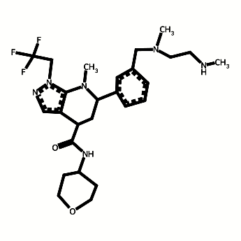 CNCCN(C)Cc1cccc(C2CC(C(=O)NC3CCOCC3)c3cnn(CC(F)(F)F)c3N2C)c1